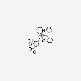 COc1cc(CC(=O)NC(c2ccccc2)c2ccccc2N2CCCCCC2)ccc1C(=O)O